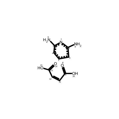 Nc1cccc(N)n1.O=C(O)/C=C\C(=O)O